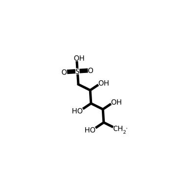 [CH2]C(O)C(O)C(O)C(O)CS(=O)(=O)O